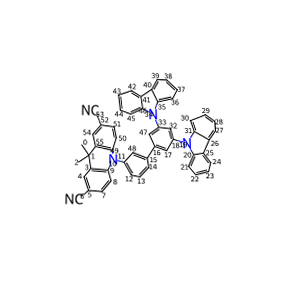 CC1(C)c2cc(C#N)ccc2N(c2cccc(-c3cc(-n4c5ccccc5c5ccccc54)cc(-n4c5ccccc5c5ccccc54)c3)c2)c2ccc(C#N)cc21